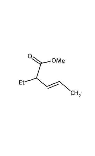 [CH2]C=CC(CC)C(=O)OC